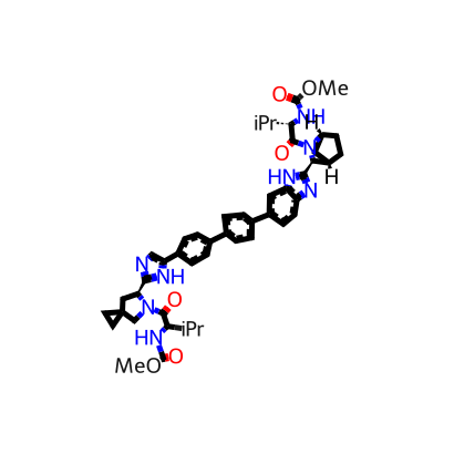 COC(=O)NC(C(=O)N1CC2(CC2)C[C@H]1c1ncc(-c2ccc(-c3ccc(-c4ccc5nc([C@@H]6[C@H]7CC[C@H](C7)N6C(=O)[C@@H](NC(=O)OC)C(C)C)[nH]c5c4)cc3)cc2)[nH]1)C(C)C